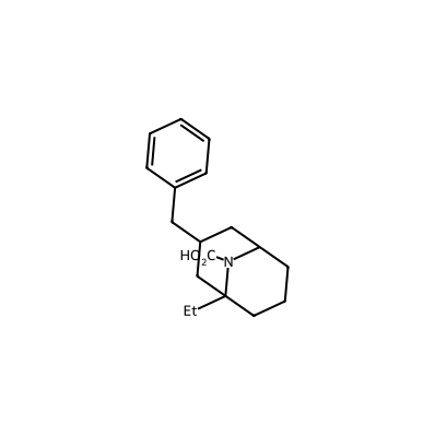 CCC12CCCC(CC(Cc3ccccc3)C1)N2C(=O)O